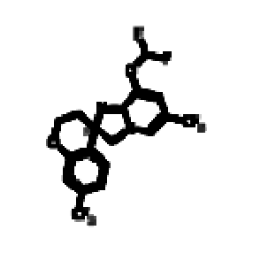 FC(F)OC1=CC(C(F)(F)F)=CN2C[C@@]3(CCOc4cc(C(F)(F)F)ccc43)N=C12